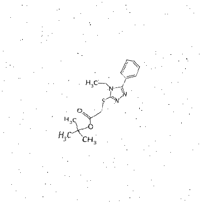 CCn1c(SCC(=O)OC(C)(C)C)nnc1-c1ccccc1